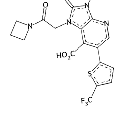 Cn1c(=O)n(CC(=O)N2CCC2)c2c(C(=O)O)c(-c3ccc(C(F)(F)F)s3)cnc21